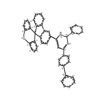 C1=C(c2ccc3c(c2)-c2ccccc2C32c3ccccc3Oc3ccccc32)NC(c2ccccc2)N=C1c1ccc(-c2ccccc2)cc1